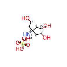 CNC(CCO)(CCO)CCO.O=S(=O)(O)O